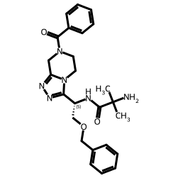 CC(C)(N)C(=O)N[C@H](COCc1ccccc1)c1nnc2n1CCN(C(=O)c1ccccc1)C2